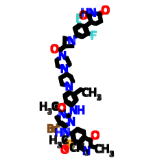 CCc1cc(Nc2ncc(Br)c(Nc3ccc4c(c3P(C)(C)=O)C=NC(C)C4=O)n2)c(OC)cc1N1CCC(N2CCN(C(=O)C3CN(c4cc(F)c(C5CCC(=O)NC5=O)c(F)c4)C3)CC2)CC1